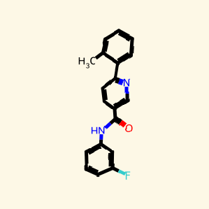 Cc1ccccc1-c1ccc(C(=O)Nc2cccc(F)c2)cn1